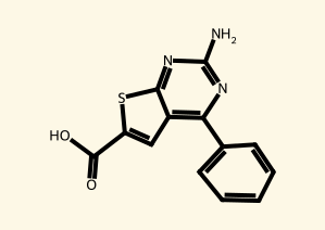 Nc1nc(-c2ccccc2)c2cc(C(=O)O)sc2n1